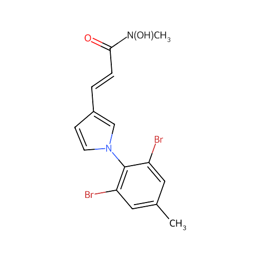 Cc1cc(Br)c(-n2ccc(C=CC(=O)N(C)O)c2)c(Br)c1